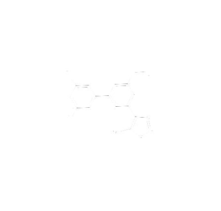 N#Cc1[nH]nnc1-c1cc(OC(F)(F)F)cc(-c2cc(F)cc(C(F)(F)F)c2)c1